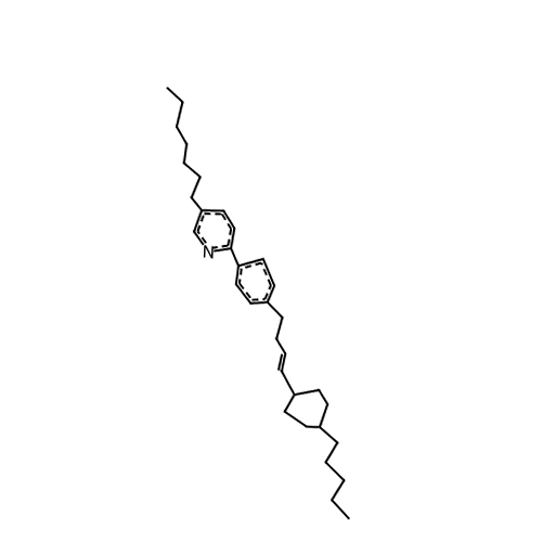 CCCCCCCc1ccc(-c2ccc(CCC=CC3CCC(CCCCC)CC3)cc2)nc1